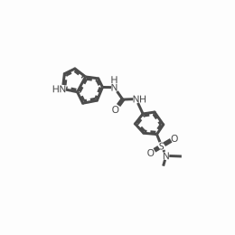 CN(C)S(=O)(=O)c1ccc(NC(=O)Nc2ccc3[nH]ccc3c2)cc1